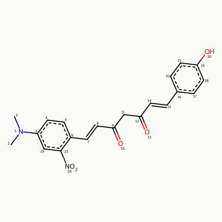 CN(C)c1ccc(/C=C/C(=O)CC(=O)/C=C/c2ccc(O)cc2)c([N+](=O)[O-])c1